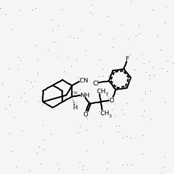 CC(C)(Oc1ccc(F)cc1Cl)C(=O)N[C@H]1C2CC3CC(C2)CC1(C#N)C3